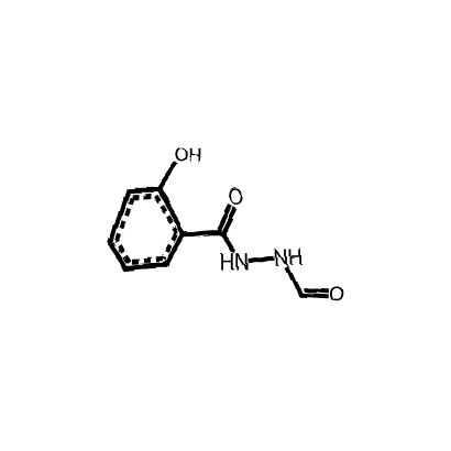 O=CNNC(=O)c1ccccc1O